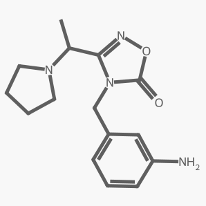 CC(c1noc(=O)n1Cc1cccc(N)c1)N1CCCC1